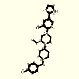 CC[C@H]1CN(c2ncc(-c3ncc[nH]3)cc2Cl)CCN1C1CCN(Cc2ccc(Cl)cc2)CC1